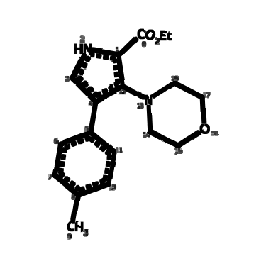 CCOC(=O)c1[nH]cc(-c2ccc(C)cc2)c1N1CCOCC1